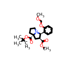 COCOc1ccccc1[C@H]1[C@@H](C(=O)OC)C[C@@]2(C(=O)OC(C)(C)C)CCCN12